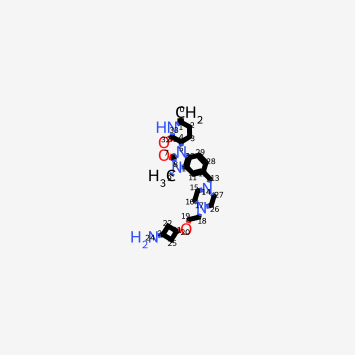 C=C1CCC(n2c(=O)n(C)c3cc(CN4CCN(CCOC5CC(N)C5)CC4)ccc32)C(=O)N1